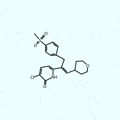 CS(=O)(=O)c1ccc(C/C(=C\C2CCOCC2)c2ccc(Cl)c(=O)[nH]2)cc1